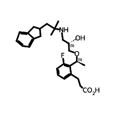 C[C@H](OC[C@@H](O)CNC(C)(C)CC1Cc2ccccc2C1)c1c(F)cccc1CCC(=O)O